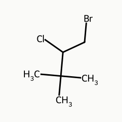 CC(C)(C)C(Cl)CBr